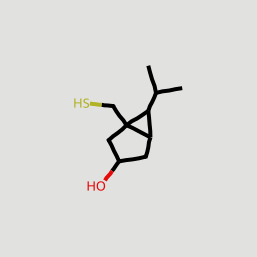 CC(C)C1C2CC(O)CC21CS